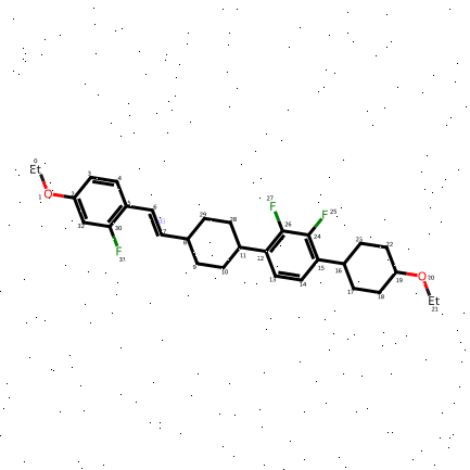 CCOc1ccc(/C=C/C2CCC(c3ccc(C4CCC(OCC)CC4)c(F)c3F)CC2)c(F)c1